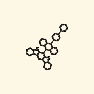 c1ccc(-c2ccc(-c3c4ccccc4c(-c4c5sc6ccccc6c5cc5c4sc4ccccc45)c4ccccc34)cc2)cc1